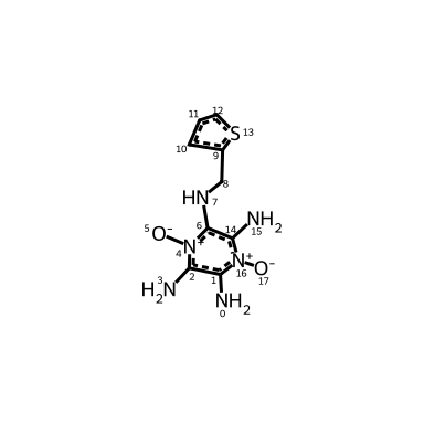 Nc1c(N)[n+]([O-])c(NCc2cccs2)c(N)[n+]1[O-]